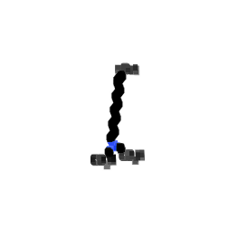 CCCCCCCCC=CCCCCCCCCN(CC(=O)O)CC(=O)O